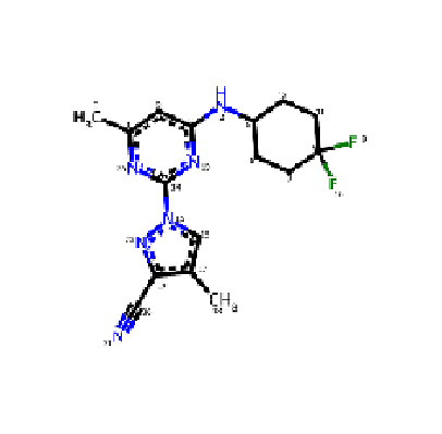 Cc1cc(NC2CCC(F)(F)CC2)nc(-n2cc(C)c(C#N)n2)n1